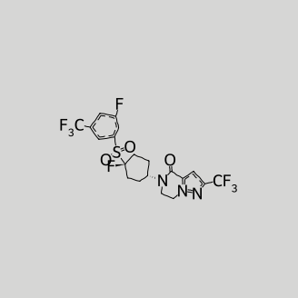 O=C1c2cc(C(F)(F)F)nn2CCN1[C@H]1CC[C@@](F)(S(=O)(=O)c2cc(F)cc(C(F)(F)F)c2)CC1